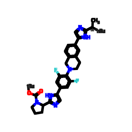 CCCC[C@H](C)c1ncc(-c2ccc3c(c2)CCN(c2c(F)cc(-c4cnc(C5CCCN5C(=O)OC(C)(C)C)[nH]4)cc2F)C3)[nH]1